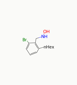 CCCCCCc1cccc(Br)c1CNO